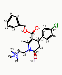 CC1=C(C(=O)OCc2ccccc2)C(c2ccc(Cl)cc2)CC(=O)N1CC[N+](C)(C)C.[I-]